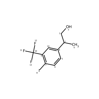 C[C](CO)c1ccc(I)c(C(F)(F)F)c1